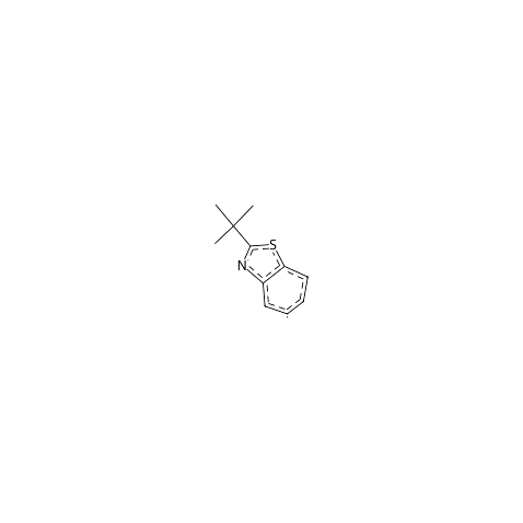 CC(C)(C)c1nc2c[c]ccc2s1